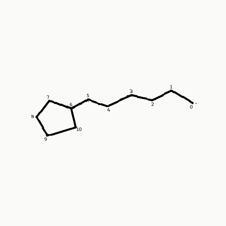 [CH2]CCCC[CH]C1CCCC1